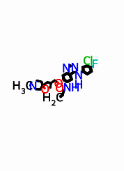 C=CC(=O)Nc1cc2c(Nc3ccc(F)c(Cl)c3)ncnc2cc1OCC1COC2(CCN(C)CC2)C1